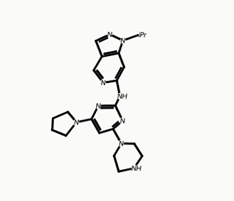 CC(C)n1ncc2cnc(Nc3nc(N4CCCC4)cc(N4CCNCC4)n3)cc21